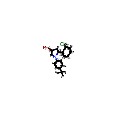 CC(C)(C)c1ccc(N2CC(Br)CC2c2ccccc2Cl)cc1